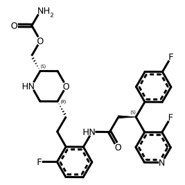 NC(=O)OC[C@@H]1CO[C@H](CCc2c(F)cccc2NC(=O)C[C@@H](c2ccc(F)cc2)c2ccncc2F)CN1